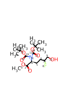 COC(=O)[C@H](CCC(F)CO)N(C(=O)OC(C)(C)C)C(=O)OC(C)(C)C